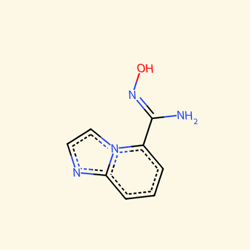 NC(=NO)c1cccc2nccn12